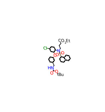 CCOC(=O)CCCN(c1ccc(Cl)cc1Oc1cccc(CNC(=O)OC(C)(C)C)c1)S(=O)(=O)c1cccc2ccccc12